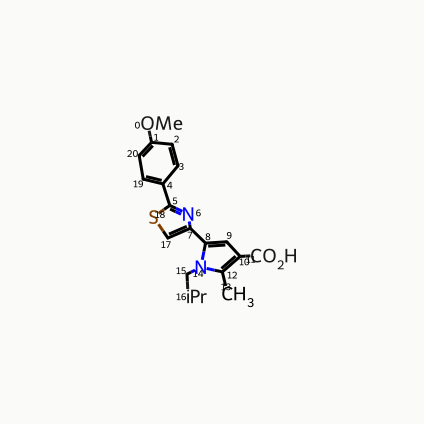 COc1ccc(-c2nc(-c3cc(C(=O)O)c(C)n3CC(C)C)cs2)cc1